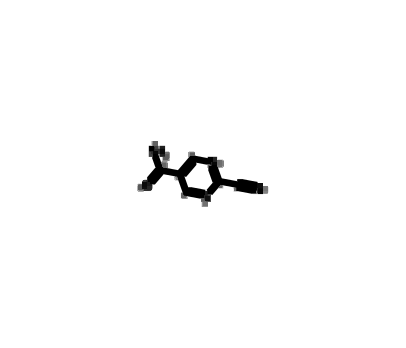 N#Cc1ncc(C(N)=O)cn1